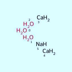 O.O.O.[CaH2].[CaH2].[NaH]